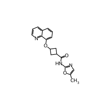 Cc1cnc(NC(=O)C2CC(Oc3cccc4cccnc34)C2)o1